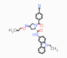 C=CCO/N=C1\C[C@@H](C(=O)Nc2ccc3c(c2)c2ccccc2n3CC)N(C(=O)c2ccc(C#N)cc2)C1